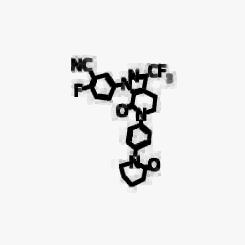 N#Cc1cc(-n2nc(C(F)(F)F)c3c2C(=O)N(c2ccc(N4CCCCC4=O)cc2)CC3)ccc1F